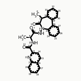 CC1C(=O)N(NC(=O)[C@H](C)NC(=O)c2ccc3ccccc3n2)c2ccccc2-c2ccccc21